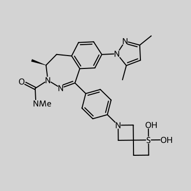 CNC(=O)N1N=C(c2ccc(N3CC4(CCS4(O)O)C3)cc2)c2cc(-n3nc(C)cc3C)ccc2C[C@@H]1C